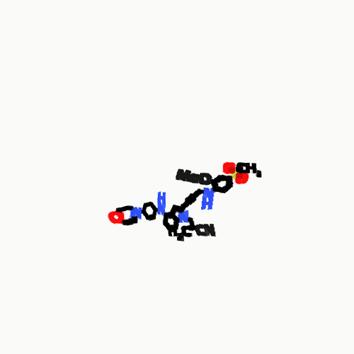 C=C(C#N)Cn1c(C#CCNc2ccc(S(C)(=O)=O)cc2OC)cc2c(N[C@H]3CC[C@H](N4CCOCC4)CC3)cccc21